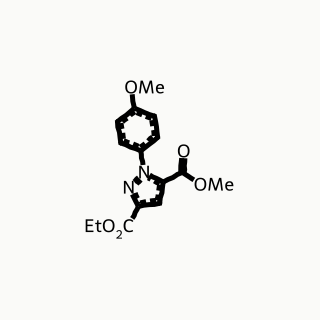 CCOC(=O)c1cc(C(=O)OC)n(-c2ccc(OC)cc2)n1